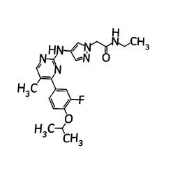 CCNC(=O)Cn1cc(Nc2ncc(C)c(-c3ccc(OC(C)C)c(F)c3)n2)cn1